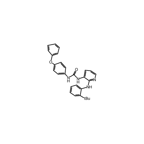 CC(C)(C)c1ccccc1Nc1ncccc1NC(=O)Nc1ccc(Oc2ccccc2)cc1